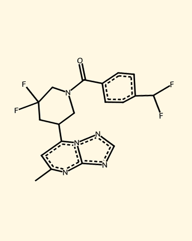 Cc1cc(C2CN(C(=O)c3ccc(C(F)F)cc3)CC(F)(F)C2)n2ncnc2n1